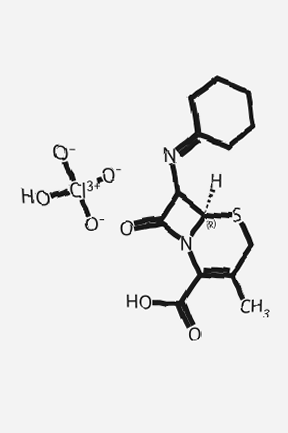 CC1=C(C(=O)O)N2C(=O)C(N=C3CCCCC3)[C@H]2SC1.[O-][Cl+3]([O-])([O-])O